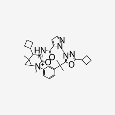 Cn1nccc1C(=O)N[C@@H]1C(=O)[N+](C)(c2cccc(C(C)(C)c3nnc(C4CCC4)o3)c2)C2CC2(C)C1C1CCC1